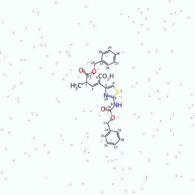 CC(C=C(C(=O)O)c1csc(NC(=O)OCc2ccccc2)n1)C(=O)OCc1ccccc1